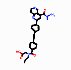 CCCN(CC(=O)O)C(=O)c1ccc(C#Cc2ccc(-c3cc(C(=O)NN)c4cnccc4n3)cc2)cc1